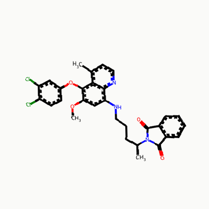 COc1cc(NCCCC(C)N2C(=O)c3ccccc3C2=O)c2nccc(C)c2c1Oc1ccc(Cl)c(Cl)c1